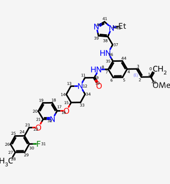 C=C(/C=C/c1ccc(NC(=O)CN2CCC(Oc3cccc(OCc4ccc(C)cc4F)n3)CC2)c(NCc2cncn2CC)c1)OC